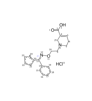 Cl.O=C(O)C1=CCCN(CCO/N=C(\c2ccccc2)c2cccs2)C1